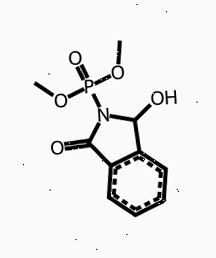 COP(=O)(OC)N1C(=O)c2ccccc2C1O